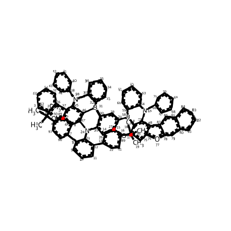 CC(C)(C)c1ccc(-c2cccc(-c3ccc(C(C)(C)C)cc3)c2N2c3cc4c(cc3B3c5ccccc5N(c5ccccc5)c5c3c2cc2oc3ccccc3c52)B2c3ccccc3N(c3ccccc3)c3c2c(cc2oc5cc6ccccc6cc5c32)O4)cc1